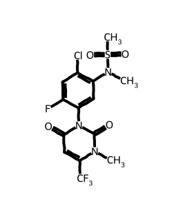 CN(c1cc(-n2c(=O)cc(C(F)(F)F)n(C)c2=O)c(F)cc1Cl)S(C)(=O)=O